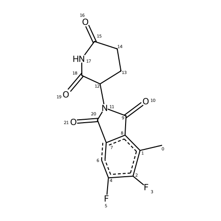 Cc1c(F)c(F)cc2c1C(=O)N(C1CCC(=O)NC1=O)C2=O